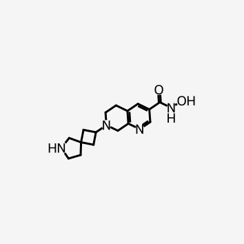 O=C(NO)c1cnc2c(c1)CCN(C1CC3(CCNC3)C1)C2